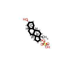 C[C@]12CC[C@@H](O)C[C@H]1CC[C@@H]1[C@@H]2CC[C@]2(C)[C@@H](OS(=O)(=O)O)CC[C@@H]12